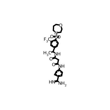 CC(NC(=O)CC(=O)Nc1ccc(C(=N)N)cc1)c1ccc(S(=O)(=O)N2CCCOCC2)c(C(F)(F)F)c1